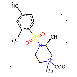 Cc1cc(C#N)ccc1S(=O)(=O)N1CC[N+](C(=O)[O-])(C(C)(C)C)C[C@@H]1C